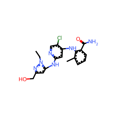 CCn1nc(CO)cc1Nc1cc(Nc2c(C)cccc2C(N)=O)c(Cl)cn1